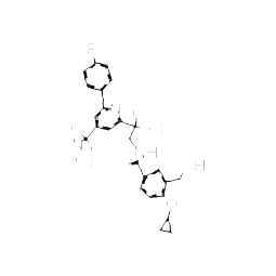 CC(C)(NCl)c1cc(-c2ccc(F)cc2)nc(C(O)(CNC(=O)c2ccc(OC3CC3)c(CO)c2)C(F)(F)F)c1